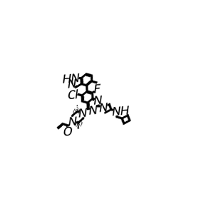 C=CC(=O)N1C[C@H](C)N(c2nc(N3CC(NCC4CCC4)C3)nc3c(F)c(-c4c(C)ccc5[nH]ncc45)c(Cl)cc23)C[C@H]1C